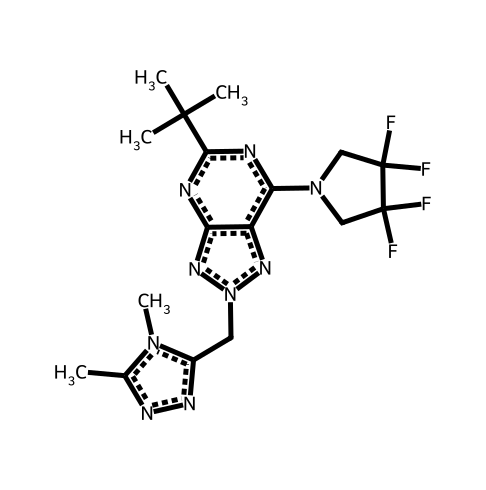 Cc1nnc(Cn2nc3nc(C(C)(C)C)nc(N4CC(F)(F)C(F)(F)C4)c3n2)n1C